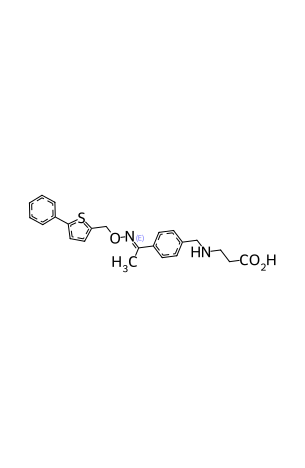 C/C(=N\OCc1ccc(-c2ccccc2)s1)c1ccc(CNCCC(=O)O)cc1